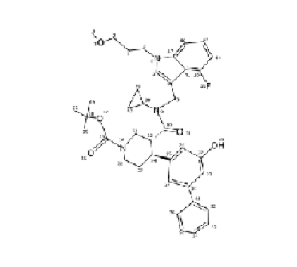 COCCCn1cc(CN(C(=O)[C@H]2CN(C(=O)OC(C)(C)C)CC[C@@H]2c2cc(O)cc(-c3ccccc3)c2)C2CC2)c2c(F)cccc21